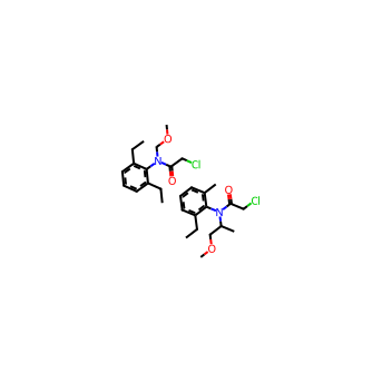 CCc1cccc(C)c1N(C(=O)CCl)C(C)COC.CCc1cccc(CC)c1N(COC)C(=O)CCl